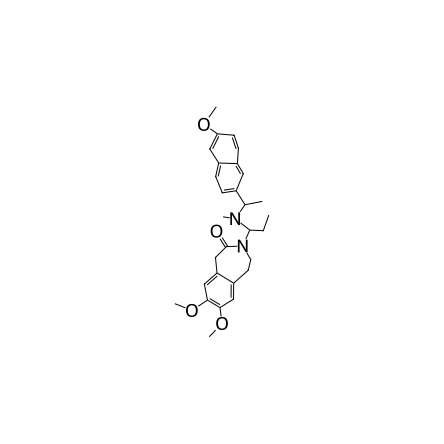 CCC(N1CCc2cc(OC)c(OC)cc2CC1=O)N(C)C(C)c1ccc2cc(OC)ccc2c1